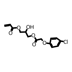 C=CC(=O)OCC(O)COC(=O)COc1ccc(Cl)cc1